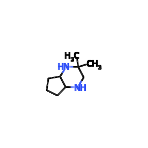 CC1(C)CNC2CCCC2N1